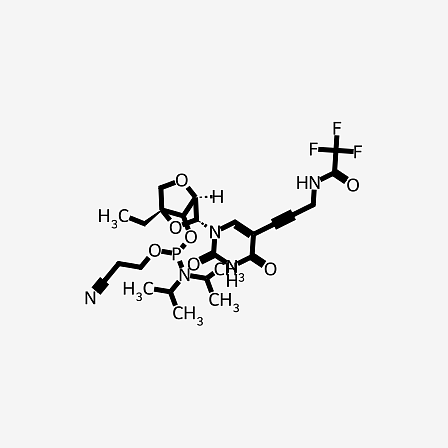 CC[C@@]12CO[C@H](C1OP(OCCC#N)N(C(C)C)C(C)C)[C@H](n1cc(C#CCNC(=O)C(F)(F)F)c(=O)[nH]c1=O)O2